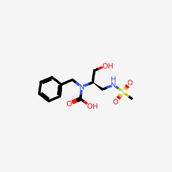 CS(=O)(=O)NC[C@H](CO)N(Cc1ccccc1)C(=O)O